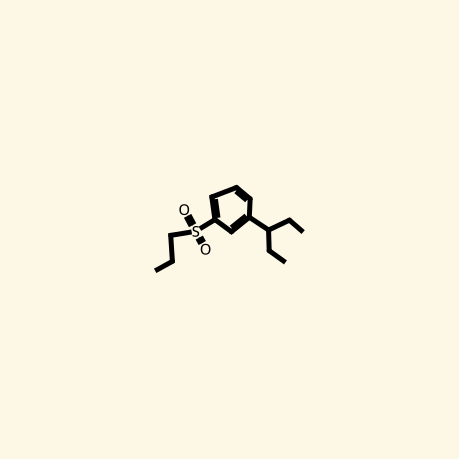 CCCS(=O)(=O)c1cccc(C(CC)CC)c1